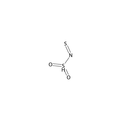 O=[SH](=O)N=S